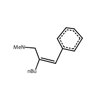 CCCCC(=Cc1ccccc1)CNC